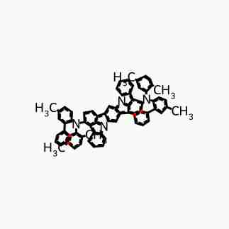 Cc1ccc(N(c2cc(C)ccc2C)c2ccc3c4cc5c(cc4n4c6ccccc6c2c34)c2ccc(N(c3cc(C)ccc3C)c3ccc(C)cc3-c3ccccc3)c3c4ccccc4n5c23)c(-c2ccccc2)c1